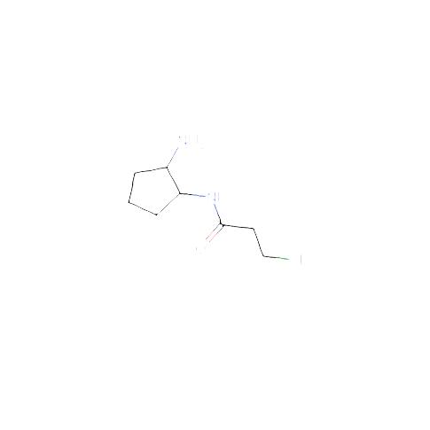 NC1CCCC1NC(=O)CCCl